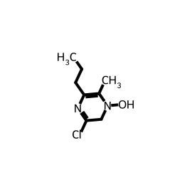 CCCC1=C(C)N(O)CC(Cl)=N1